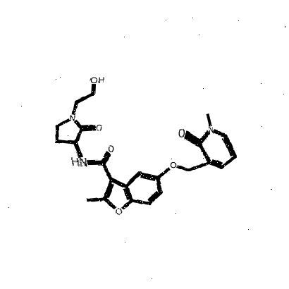 Cc1oc2ccc(OCc3cccn(C)c3=O)cc2c1C(=O)NC1CCN(CCO)C1=O